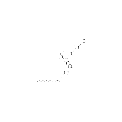 CCCCCCCCCC(=O)OC[C@H](O)C(C)OCOC[C@H](O)C(C)OC(C)Oc1cc2cc3c(c(O)c2c(O)c1C)C(=O)[C@@H](O[C@@H](C)OC(C)[C@@H](O)COC(C)OC(C)[C@H](O)COC1OC(C)[C@@H](O)C1(C)O)[C@H]([C@H](OC)C(=O)[C@@H](O)[C@@H](C)O)C3